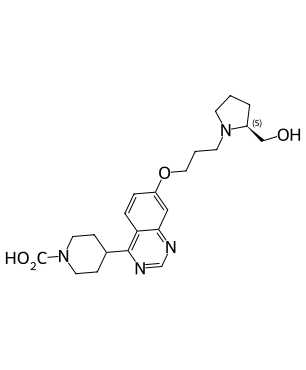 O=C(O)N1CCC(c2ncnc3cc(OCCCN4CCC[C@H]4CO)ccc23)CC1